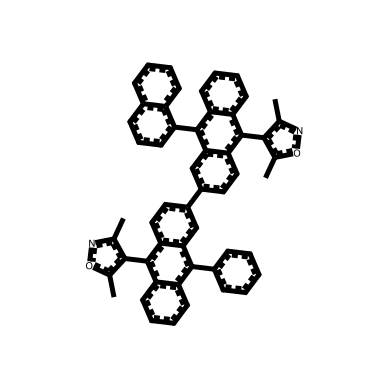 Cc1noc(C)c1-c1c2ccccc2c(-c2ccccc2)c2cc(-c3ccc4c(-c5c(C)noc5C)c5ccccc5c(-c5cccc6ccccc56)c4c3)ccc12